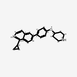 c1cc2cc(-c3ccc(OC4CCNCC4)cc3)ccc2c(C2CC2)n1